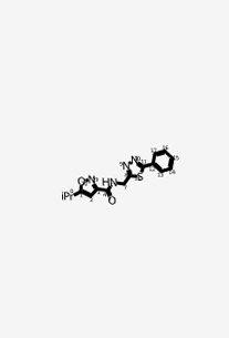 CC(C)c1cc(C(=O)NCc2nnc(-c3ccccc3)s2)no1